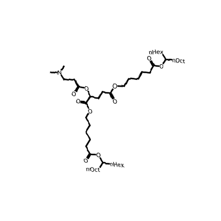 CCCCCCCCC(CCCCCC)OC(=O)CCCCCOC(=O)CCC(OC(=O)CCN(C)C)C(=O)OCCCCCC(=O)OC(CCCCCC)CCCCCCCC